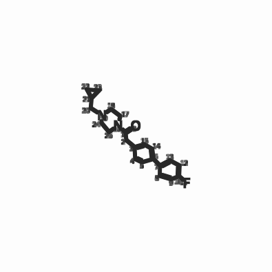 O=C(Cc1ccc(-c2ccc(F)cc2)cc1)N1CCN(CC2CC2)CC1